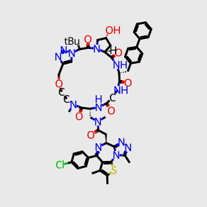 Cc1sc2c(c1C)C(c1ccc(Cl)cc1)=N[C@@H](CC(=O)N(C)C[C@H]1NC(=O)CNC(=O)[C@@H](Cc3ccc(-c4ccccc4)cc3)NC(=O)[C@@H]3C[C@@H](O)CN3C(=O)C(C(C)(C)C)n3cc(nn3)COCCN(C)C1=O)c1nnc(C)n1-2